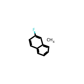 C.Fc1ccc2ccccc2c1